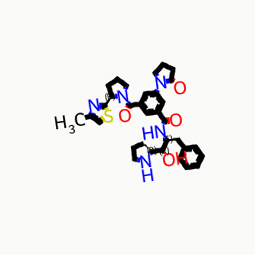 Cc1csc([C@H]2CCCN2C(=O)c2cc(C(=O)N[C@@H](Cc3ccccc3)[C@H](O)[C@H]3CCCN3)cc(N3CCCC3=O)c2)n1